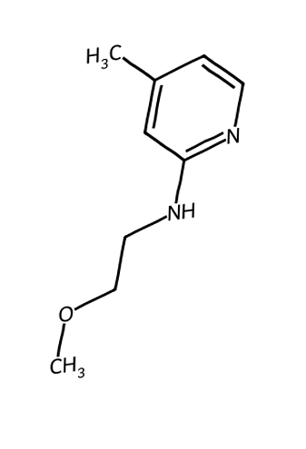 COCCNc1cc(C)ccn1